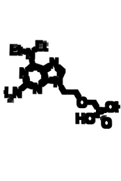 CCN(CC)c1nc(N)nc2c1ncn2CCOCP(=O)(O)O